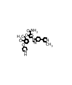 Cc1cc(C2C=Cc3c(ncn3-c3cc(OC(C)c4cccc(OC5CCNCC5)c4Cl)c(C(N)=O)s3)C2)ccn1